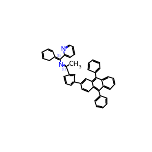 C/C(=N\C(=C1\C=CC=CC1)c1ccccn1)c1cccc(-c2ccc3c(-c4ccccc4)c4ccccc4c(-c4ccccc4)c3c2)c1